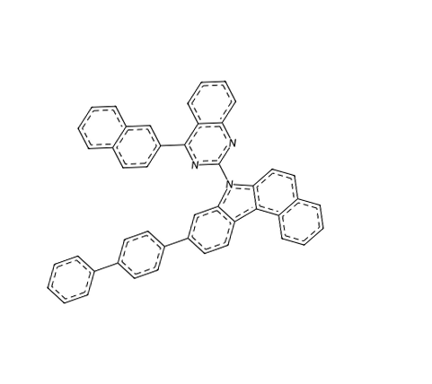 c1ccc(-c2ccc(-c3ccc4c5c6ccccc6ccc5n(-c5nc(-c6ccc7ccccc7c6)c6ccccc6n5)c4c3)cc2)cc1